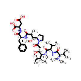 CC[C@H](C)[C@@H]([C@@H](CC(=O)N1CCC[C@H]1[C@H](OC)[C@@H](C)C(=O)N[C@@H](Cc1ccccc1)C(=O)NC(CC(=O)O)C(=O)O)OC)N(C)C(=O)[C@@H](NC(=O)[C@H](C(C)C)N(C)C)C(C)C